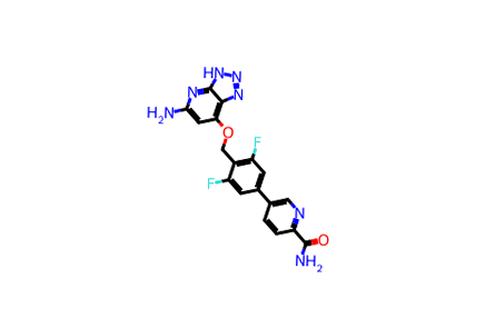 NC(=O)c1ccc(-c2cc(F)c(COc3cc(N)nc4[nH]nnc34)c(F)c2)cn1